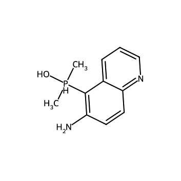 C[PH](C)(O)c1c(N)ccc2ncccc12